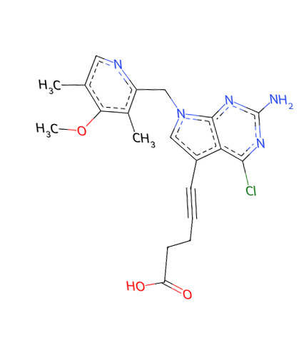 COc1c(C)cnc(Cn2cc(C#CCCC(=O)O)c3c(Cl)nc(N)nc32)c1C